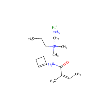 C1=CCC1.CC=C(C)C(N)=O.CCC[N+](C)(C)C.Cl.N